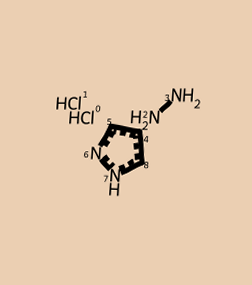 Cl.Cl.NN.c1cn[nH]c1